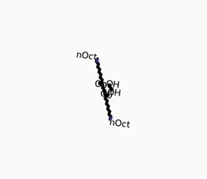 CCCCCCCC/C=C/CCCCCCCC(=O)OCCOC(=O)CCCCCCC/C=C/CCCCCCCC.OCCO